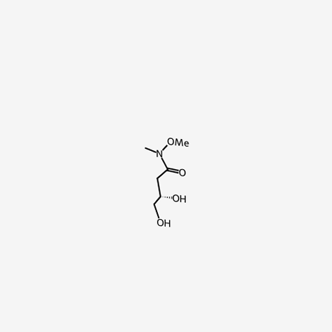 CON(C)C(=O)C[C@H](O)CO